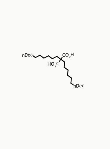 CCCCCCCCCCCCCCCCC(CCCCCCCCCCCCCCCC)(C(=O)O)C(=O)O